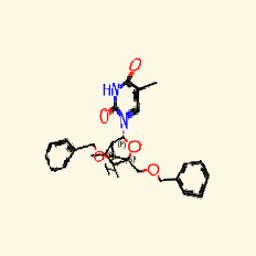 Cc1cn([C@@H]2O[C@]3(COCc4ccccc4)CC(C)C2[C@H]3OCc2ccccc2)c(=O)[nH]c1=O